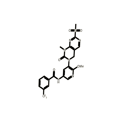 COc1ncc(NC(=O)c2cccc(C(F)(F)F)c2)cc1N1Cc2cnc(S(C)(=O)=O)nc2N(C)C1=O